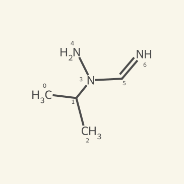 CC(C)N(N)C=N